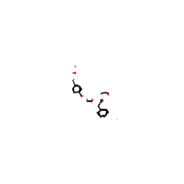 COc1ccc([C@H](NC(=O)CNC(=O)c2ccc(CNC(=O)OC(C)(C)C)cc2)C(=O)N[C@H](C(=O)C(F)(F)F)C(C)C)cc1